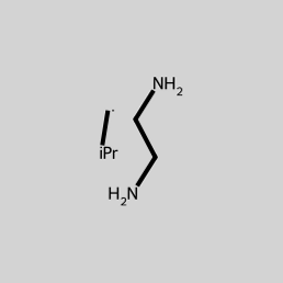 NCCN.[CH2]C(C)C